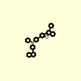 c1ccc(-c2cc3c4ccc(-c5ccc(N(c6ccccc6)c6ccc(-c7cccc8ccccc78)cc6)cc5)cc4oc3c3ccccc23)cc1